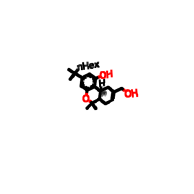 CCCCCCC(C)(C)c1cc(O)c2c(c1)OC(C)(C)C1CC=C(CO)C[C@@H]21